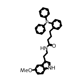 COc1ccc2[nH]cc(CCNC(=O)CCCc3ccccc3P(c3ccccc3)c3ccccc3)c2c1